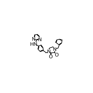 O=C1C(=O)N(Cc2ccc(Nc3ncccn3)cc2)CCN1Cc1ccccc1